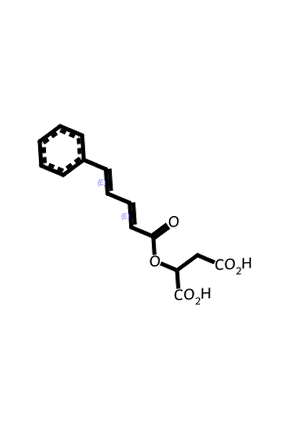 O=C(O)CC(OC(=O)/C=C/C=C/c1ccccc1)C(=O)O